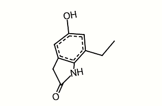 CCc1cc(O)cc2c1NC(=O)C2